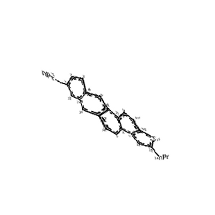 CCCc1ccc2cc3c(ccc4c5cc(CCC)sc5ccc34)cc2c1